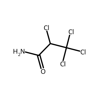 NC(=O)C(Cl)C(Cl)(Cl)Cl